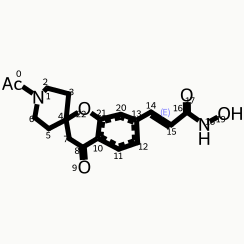 CC(=O)N1CCC2(CC1)CC(=O)c1ccc(/C=C/C(=O)NO)cc1O2